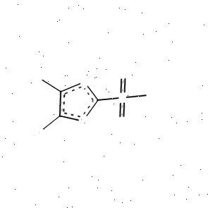 CCc1nc(S(C)(=O)=O)sc1C